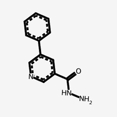 NNC(=O)c1cncc(-c2ccccc2)c1